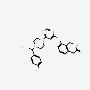 CC(c1ccc(F)cc1)N1CCN(c2cc(Oc3cccc4c3CNC(=O)C4)ncn2)CC1.Cl